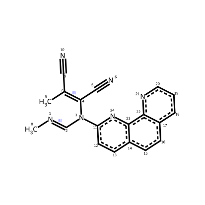 C/N=C/N(/C(C#N)=C(\C)C#N)c1ccc2ccc3cccnc3c2n1